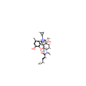 Cc1cc(O)c2c3c1C[C@H]1N(C4CC4)CC[C@@]34[C@@H](O2)[C@@H](N(C)C(=O)C=CCC(C)C)CC[C@@]14O